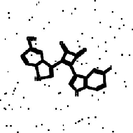 COC1=CC2C(c3c(-c4c[nH]c5ccc(I)cc45)c(=O)c3=O)=CNC2C=C1